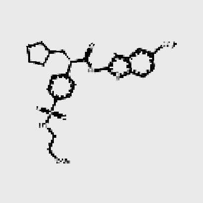 COCCNS(=O)(=O)c1ccc([C@@H](CC2CCCC2)C(=O)Nc2nc3ccc(C(=O)O)cc3s2)cc1